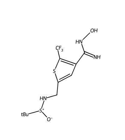 CC(C)(C)[S+]([O-])NCc1cc(C(=N)NO)c(C(F)(F)F)s1